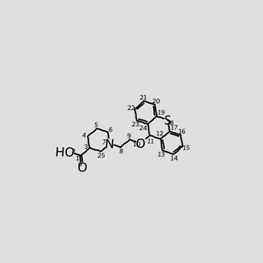 O=C(O)C1CCCN(CCOC2c3ccccc3Sc3ccccc32)C1